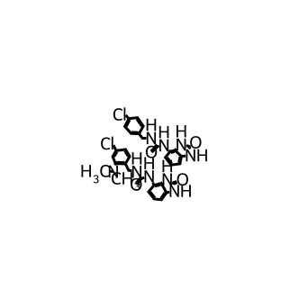 CN(C)c1cc(Cl)ccc1CNC(=O)Nc1cccc2[nH]c(=O)[nH]c12.O=C(NCc1ccc(Cl)cc1)Nc1cccc2[nH]c(=O)[nH]c12